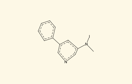 CN(I)c1cncc(-c2ccccc2)c1